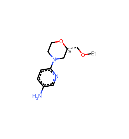 CCOC[C@@H]1CN(c2ccc(N)cn2)CCO1